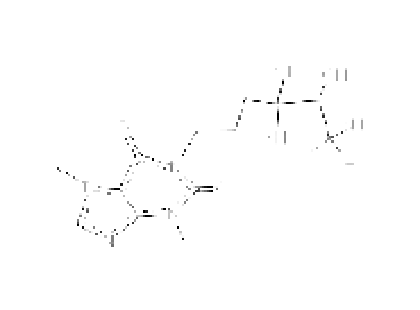 [2H]C([2H])([2H])C(O)C([2H])([2H])CCCn1c(=O)c2c(ncn2C)n(C)c1=O